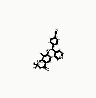 Cc1c(O[C@@H](c2ccncc2)c2ccc(C#N)cc2)ccc2c1OC(C)(C)CC2=O